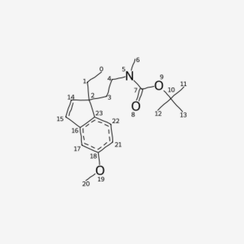 CCC1(CCN(C)C(=O)OC(C)(C)C)C=Cc2cc(OC)ccc21